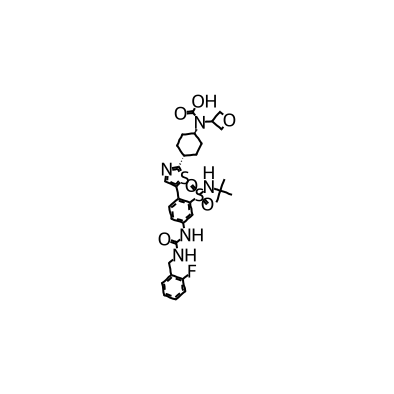 CC(C)(C)NS(=O)(=O)c1cc(NC(=O)NCc2ccccc2F)ccc1-c1cnc([C@H]2CC[C@H](N(C(=O)O)C3COC3)CC2)s1